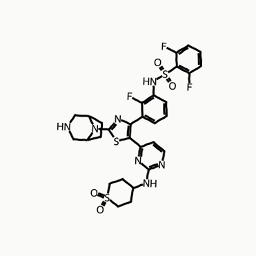 O=S1(=O)CCC(Nc2nccc(-c3sc(N4C5CCC4CNC5)nc3-c3cccc(NS(=O)(=O)c4c(F)cccc4F)c3F)n2)CC1